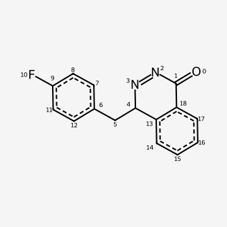 O=C1N=NC(Cc2ccc(F)cc2)c2ccccc21